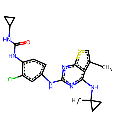 Cc1csc2nc(Nc3ccc(NC(=O)NC4CC4)c(Cl)c3)nc(NC3(C)CC3)c12